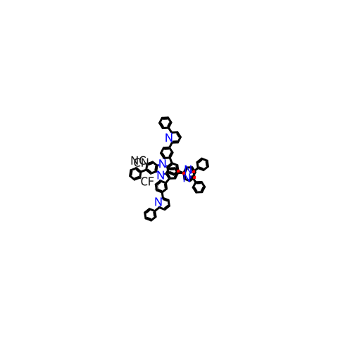 N#Cc1cc(-n2c3ccc(-c4cccc(-c5ccccc5)n4)cc3c3cc(-c4cccc(-c5ccccc5)n4)ccc32)c(-n2c3ccc(-c4cccc(-c5ccccc5)n4)cc3c3cc(-c4cccc(-c5ccccc5)n4)ccc32)cc1-c1c(C#N)cccc1C(F)(F)F